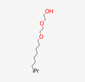 CC(C)CCCCCCCOCCOCCO